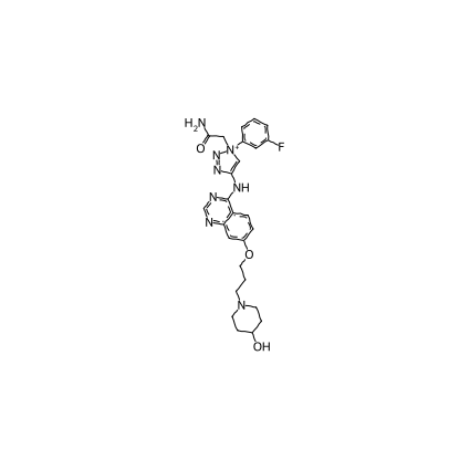 NC(=O)C[N+]1(c2cccc(F)c2)C=C(Nc2ncnc3cc(OCCCN4CCC(O)CC4)ccc23)N=N1